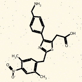 Cc1cc([N+](=O)[O-])c(C)cc1Cc1nc(-c2ccc(CN)cc2)c(CC(=O)O)s1